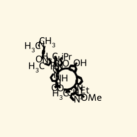 CCn1c(-c2cccnc2COC)c2c3cc(ccc31)-c1cc(O)cc(c1)C[C@H](NC(=O)C(C(C)C)N(C)C(=O)[C@H]1C[C@@H](C)N(C(=O)C#CCN(C)C)C1)C(=O)N1CCC[C@H](N1)C(=O)OCC(C)(C)C2